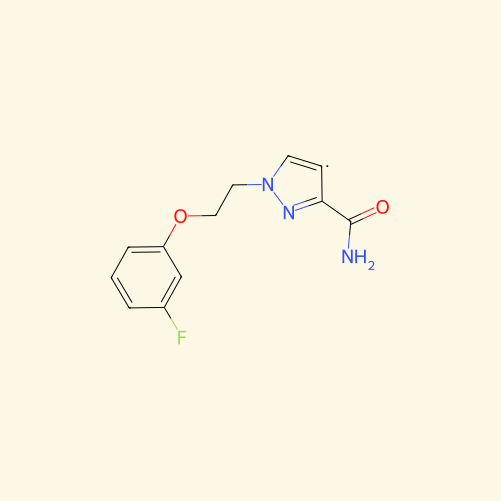 NC(=O)c1[c]cn(CCOc2cccc(F)c2)n1